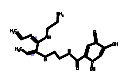 C=C/N=C(NCCN)\C(=C/C)NCCNC(=O)c1cc(=O)c(O)cn1O